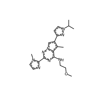 COCCNc1nc(-c2nccn2C)nn2cc(-c3ccn(C(C)C)n3)c(C)c12